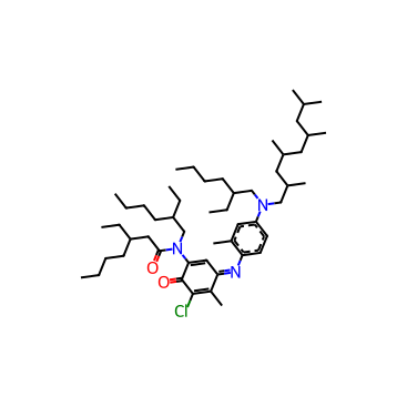 CCCCC(CC)CC(=O)N(CC(CC)CCCC)C1=CC(=Nc2ccc(N(CC(C)CC(C)CC(C)CC(C)C)CC(CC)CCCC)cc2C)C(C)=C(Cl)C1=O